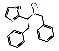 O=C(O)N(Cc1ccccc1)[C@H](Cc1ccccc1)c1ncc[nH]1